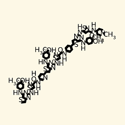 CN1CCC(NC(=O)c2cc(Nc3nc(N[C@H]4CC[C@](C)(O)CC4)c4sc(-c5ccc(NC(=O)c6cc(Nc7nc(N[C@H]8CC[C@](C)(O)CC8)c8sc(-c9ccc(NC(O)c%10cc(Nc%11nc(N[C@H]%12CC[C@](C)(O)CC%12)c%12sccc%12n%11)sn%10)cn9)cc8n7)sn6)cc5)cc4n3)sn2)CC1